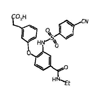 CCNC(=O)c1ccc(Oc2cccc(CC(=O)O)c2)c(NS(=O)(=O)c2ccc(C#N)cc2)c1